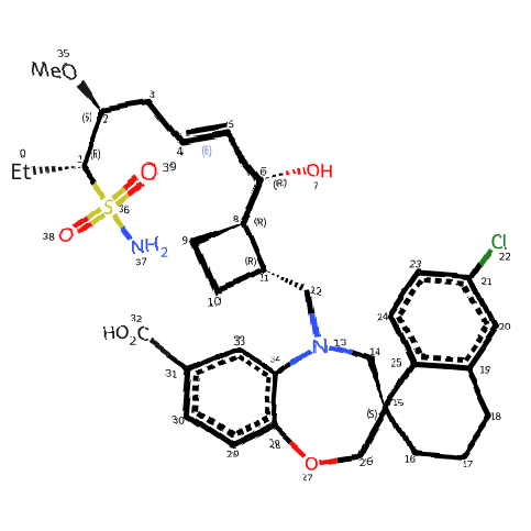 CC[C@H]([C@H](C/C=C/[C@H](O)[C@@H]1CC[C@H]1CN1C[C@@]2(CCCc3cc(Cl)ccc32)COc2ccc(C(=O)O)cc21)OC)S(N)(=O)=O